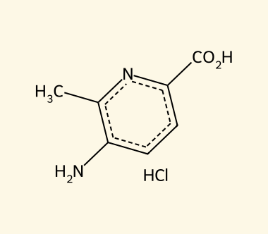 Cc1nc(C(=O)O)ccc1N.Cl